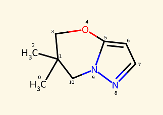 CC1(C)COc2ccnn2C1